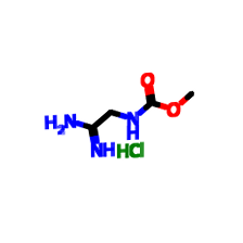 COC(=O)NCC(=N)N.Cl